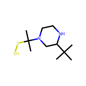 CC(C)(C)C1CN(C(C)(C)SS)CCN1